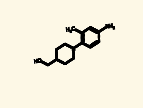 Cc1cc(N)ccc1N1CCC(CO)CC1